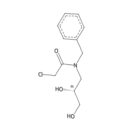 O=C(CCl)N(Cc1ccccc1)C[C@@H](O)CO